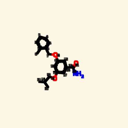 Cc1ccccc1COc1cc(OCC(C)C)cc(C(N)=O)c1